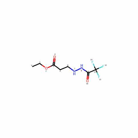 CCOC(=O)CCNNC(=O)C(F)(F)F